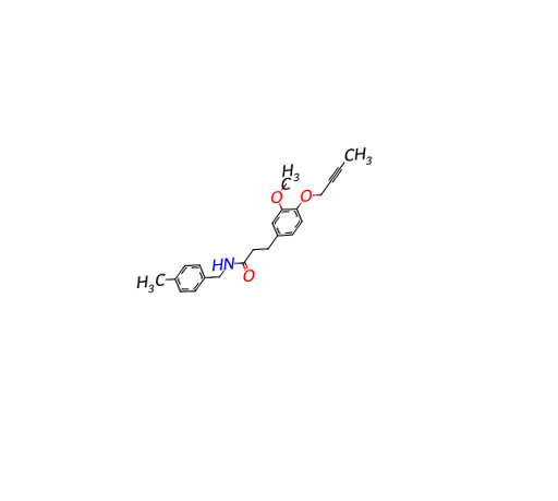 CC#CCOc1ccc(CCC(=O)NCc2ccc(C)cc2)cc1OC